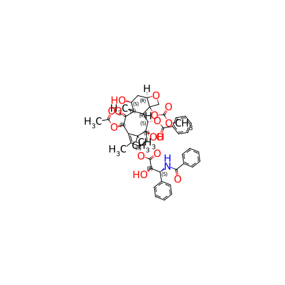 COC(=O)OC12CO[C@@H]1C[C@H](O)[C@@]1(C)C(=O)[C@H](OC(C)=O)C3=C(C)[C@@H](OC(=O)[C@H](O)[C@@H](NC(=O)c4ccccc4)c4ccccc4)C[C@@](O)([C@@H](OC(=O)c4ccccc4)[C@H]21)C3(C)C